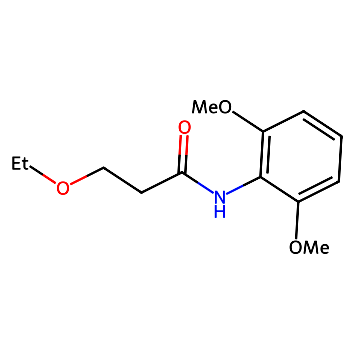 CCOCCC(=O)Nc1c(OC)cccc1OC